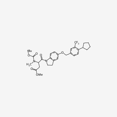 COC(=O)CC(C(=O)N1CCc2cc(OCc3ccc(C4CCCC4)c(C(F)(F)F)c3)ccc21)N(C)C(=O)OC(C)(C)C